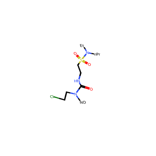 CCCN(CC)S(=O)(=O)CCNC(=O)N(CCCl)N=O